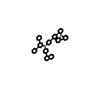 c1ccc(-c2cc(-c3ccccc3)cc(N(c3ccc(-c4ccc(-c5ccccc5-n5c6ccccc6c6ccccc65)cc4)cc3)c3ccc(-c4cccc5ccccc45)cc3)c2)cc1